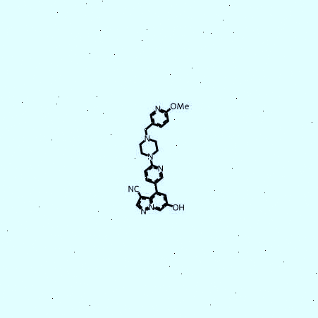 COc1ccc(CN2CCN(c3ccc(-c4cc(O)cn5ncc(C#N)c45)cn3)CC2)cn1